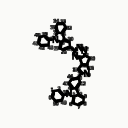 c1ccc(-n2c3ccccc3c3cc(-c4cc5c(cn4)Cc4nnc(-c6ccc7c(c6)c6ccccc6n7-c6ccccc6)nc4-5)ccc32)cc1